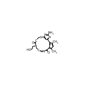 Cc1cc(C)c2cc1C(=O)NCCCN(CCO)C(=O)CCSc1cc-2nc(N)n1